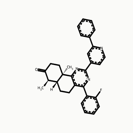 C[C@H]1C(=O)CC[C@@]2(C)c3nc(-c4ccnc(-c5ccccc5)c4)nc(-c4ccccc4F)c3CC[C@H]12